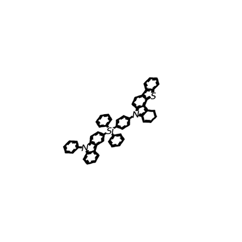 C1=Cc2c(c3c4sc5ccccc5c4ccc3n2-c2ccc([Si](c3ccccc3)(c3ccccc3)c3ccc4c(c3)c3ccccc3n4-c3ccccc3)cc2)CC1